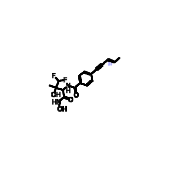 C/C=C/C#Cc1ccc(C(=O)NC(C(=O)NO)C(C)(O)C(F)F)cc1